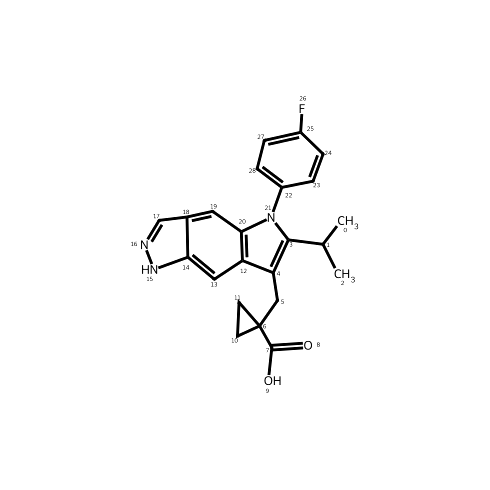 CC(C)c1c(CC2(C(=O)O)CC2)c2cc3[nH]ncc3cc2n1-c1ccc(F)cc1